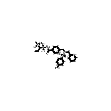 CCC(S(C)(=O)=O)S(=O)(=O)NC(=O)c1ccc(CN(Cc2ccccn2)S(=O)(=O)c2ccc(Cl)cc2)cc1